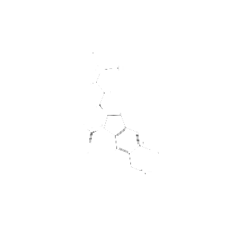 C[C@@H](N)c1cc2c(cc1Cl)C[C@H](CCCB(O)O)[C@@H]2C(=O)O